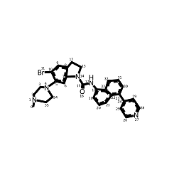 CN1CCN(c2cc3c(cc2Br)CCN3C(=O)Nc2cccc3c(-c4ccncc4)cccc23)CC1